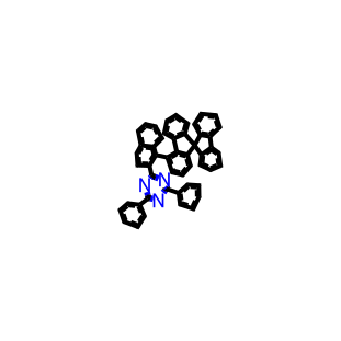 c1ccc(-c2nc(-c3ccccc3)nc(-c3ccc4ccccc4c3-c3cccc4c3-c3ccccc3C43c4ccccc4-c4ccccc43)n2)cc1